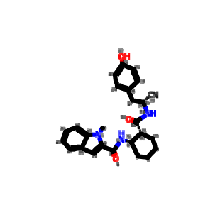 Cn1c(C(=O)N[C@H]2CCCC[C@H]2C(=O)N[C@@H](C#N)Cc2ccc(O)cc2)cc2ccccc21